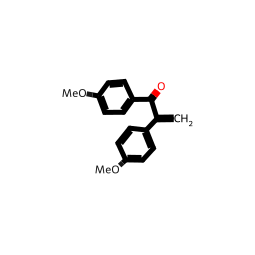 C=C(C(=O)c1ccc(OC)cc1)c1ccc(OC)cc1